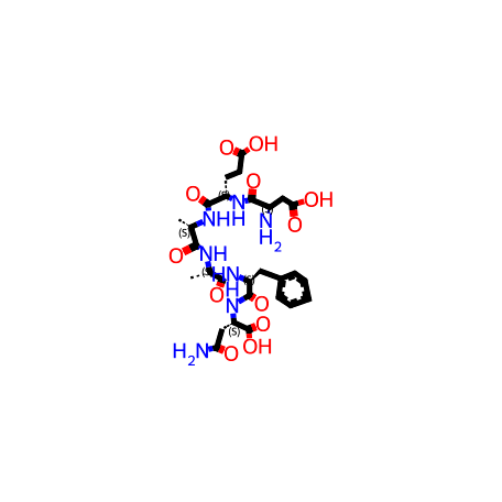 C[C@H](NC(=O)[C@H](C)NC(=O)[C@H](CCC(=O)O)NC(=O)[C@@H](N)CC(=O)O)C(=O)N[C@@H](Cc1ccccc1)C(=O)N[C@@H](CC(N)=O)C(=O)O